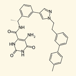 Cc1ccc(-c2cccc(CCn3cc(-c4cccc([C@@H](C)NC(=O)c5[nH]c(=O)[nH]c(=O)c5N)c4)cn3)c2)cc1